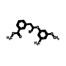 COC(=O)c1cccc(CC(Br)Oc2cc(C)cc(OC)c2)c1